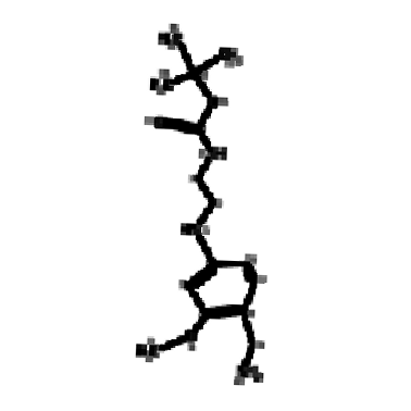 COc1cc(NCCNC(=O)OC(C)(C)C)ccc1CN